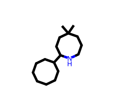 CC1(C)CCCNC(C2CCCCCCC2)CC1